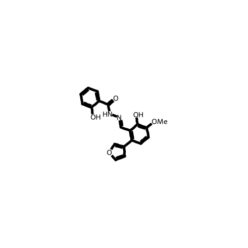 COc1ccc(-c2ccoc2)c(C=NNC(=O)c2ccccc2O)c1O